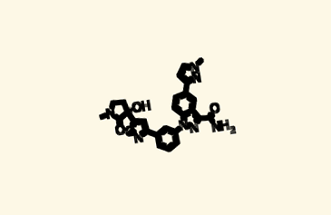 CN1CC[C@@](O)(c2cc(-c3cccc(-n4nc(C(N)=O)c5cc(-c6ccn(C)n6)ccc54)c3)no2)C1=O